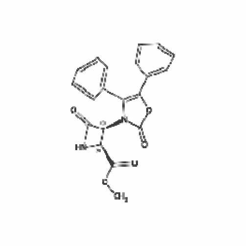 COC(=O)[C@H]1NC(=O)[C@H]1n1c(-c2ccccc2)c(-c2ccccc2)oc1=O